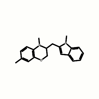 Cc1ccc2c(c1)OCC(Cc1cc3ccccc3n1C)N2C